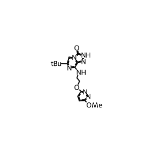 COc1ccc(OCCNc2nc(C(C)(C)C)cn3c(=O)[nH]nc23)nn1